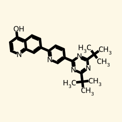 CC(C)(C)c1nc(-c2ccc(-c3ccc4c(O)ccnc4c3)nc2)nc(C(C)(C)C)n1